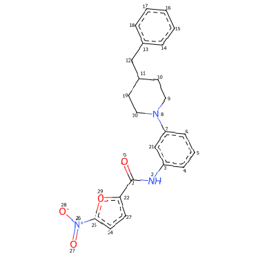 O=C(Nc1cccc(N2CCC(Cc3ccccc3)CC2)c1)c1ccc([N+](=O)[O-])o1